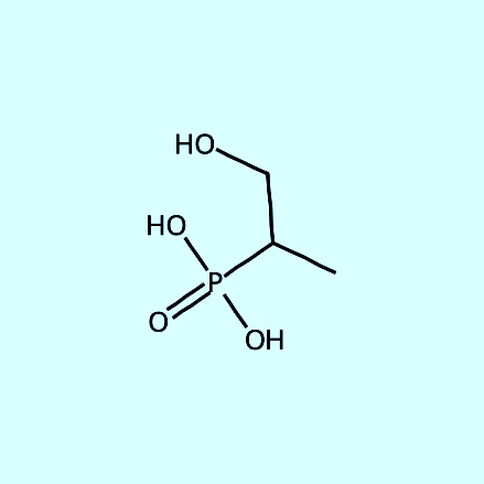 CC(CO)P(=O)(O)O